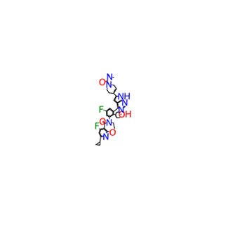 CN(C)C(=O)N1CC=C(c2cc3c(-c4cc(F)cc(N5CCOc6nc(C7CC7)cc(F)c6C5=O)c4CO)ncnc3[nH]2)CC1